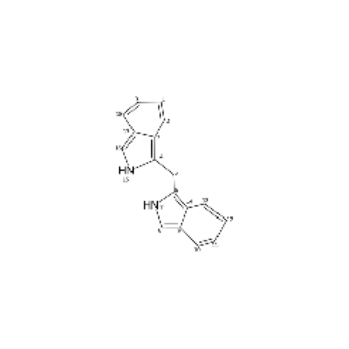 c1ccc2c(Cc3[nH]cc4ccccc34)[nH]cc2c1